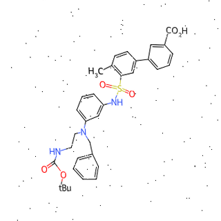 Cc1ccc(-c2cccc(C(=O)O)c2)cc1S(=O)(=O)Nc1cccc(N(CCNC(=O)OC(C)(C)C)Cc2ccccc2)c1